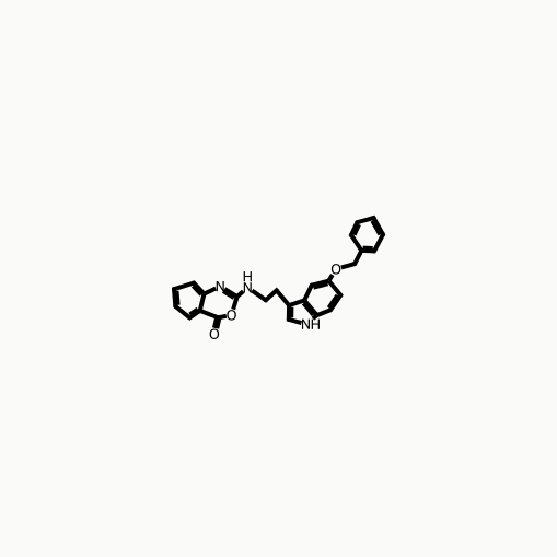 O=c1oc(NCCc2c[nH]c3ccc(OCc4ccccc4)cc23)nc2ccccc12